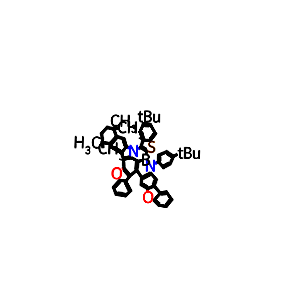 CC(C)(C)c1ccc(N2B3c4sc5ccc(C(C)(C)C)cc5c4-n4c5cc6c(cc5c5c7oc8ccccc8c7c(c3c54)-c3cc4oc5ccccc5c4cc32)C(C)(C)CCC6(C)C)cc1